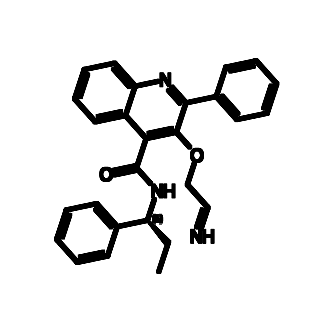 CC[C@H](NC(=O)c1c(OCC=N)c(-c2ccccc2)nc2ccccc12)c1ccccc1